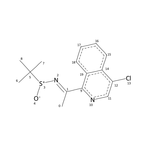 CC(=N[S+]([O-])C(C)(C)C)c1ncc(Cl)c2ccccc12